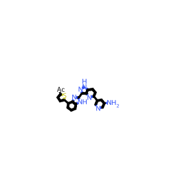 CC(=O)c1ccc(-c2cccc3[nH]c(-c4n[nH]c5ccc(-c6cncc(N)c6)nc45)nc23)s1